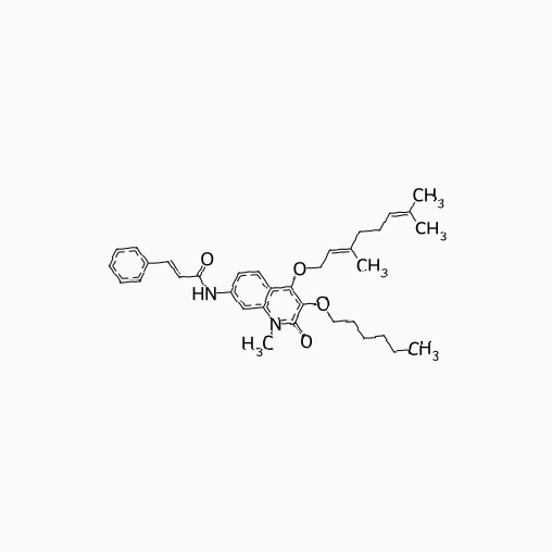 CCCCCCOc1c(OC/C=C(\C)CCC=C(C)C)c2ccc(NC(=O)C=Cc3ccccc3)cc2n(C)c1=O